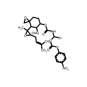 CCC(NC(=O)OC1CCC2(CO2)C(C2(C)OC2CC=C(C)C)C1OC)OC(=O)Oc1ccc([N+](=O)[O-])cc1